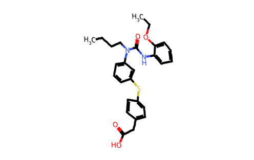 CCCCN(C(=O)Nc1ccccc1OCC)c1cccc(Sc2ccc(CC(=O)O)cc2)c1